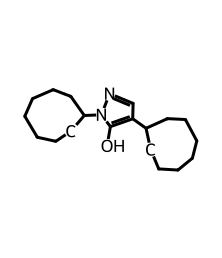 Oc1c(C2CCCCCCC2)cnn1C1CCCCCCC1